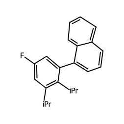 CC(C)c1cc(F)cc(-c2cccc3ccccc23)c1C(C)C